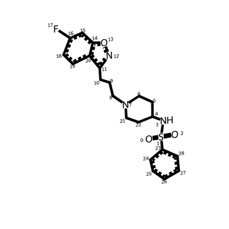 O=S(=O)(NC1CCN(CCCc2noc3cc(F)ccc23)CC1)c1ccccc1